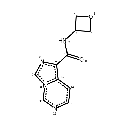 O=C(NC1COC1)c1ncn2cnccc12